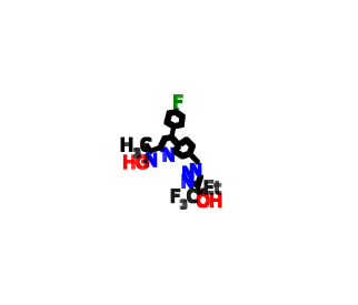 CCC(O)(c1cn(Cc2ccc3c(-c4ccc(F)cc4)cc(C(C)=NO)nc3c2)nn1)C(F)(F)F